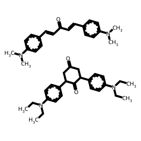 CCN(CC)c1ccc(C2CC(=O)CC(c3ccc(N(CC)CC)cc3)C2=O)cc1.CN(C)c1ccc(C=CC(=O)C=Cc2ccc(N(C)C)cc2)cc1